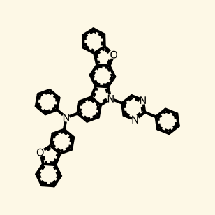 c1ccc(-c2ncc(-n3c4ccc(N(c5ccccc5)c5ccc6c(c5)oc5ccccc56)cc4c4cc5c(cc43)oc3ccccc35)cn2)cc1